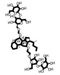 CCC[C@@H](C)[C@H]1CC[C@H]2[C@@H]3[C@H](OCOC[C@@H]4OC(CO)[C@@H](O[C@H]5OC(CO)[C@@H](O)C(O)[C@@H]5O)C(O)[C@@H]4O)C[C@@H]4CCCC[C@]4(C)[C@H]3C[C@H](OCCO[C@@H]3OC(CO)[C@@H](O[C@H]4OC(CO)[C@@H](O)[C@H](O)C4O)[C@H](O)C3O)[C@]12C